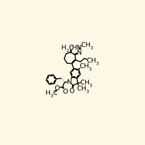 C=C1CCCC(c2cc3c(cc2C)C(C)(C)C(=O)N3[C@@H](Cc2ccccc2)C(=O)OC)=C(CCC)/C1=N/NC